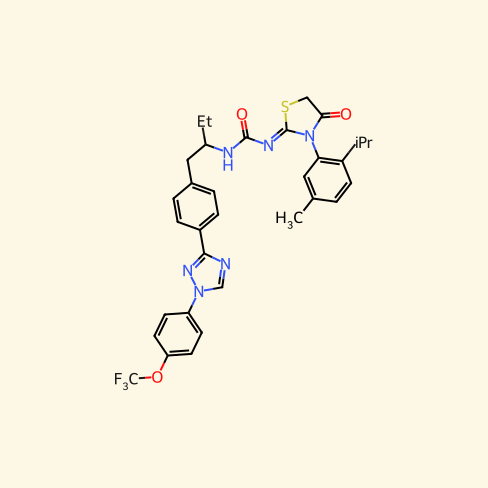 CCC(Cc1ccc(-c2ncn(-c3ccc(OC(F)(F)F)cc3)n2)cc1)NC(=O)/N=C1\SCC(=O)N1c1cc(C)ccc1C(C)C